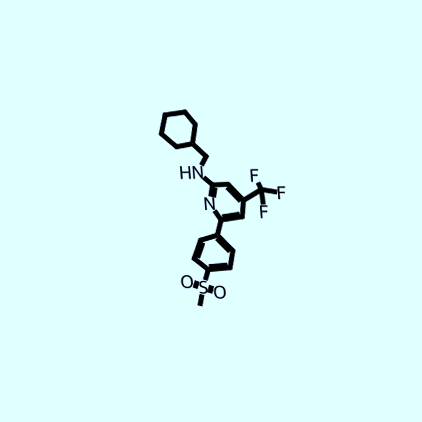 CS(=O)(=O)c1ccc(-c2cc(C(F)(F)F)cc(NCC3CCCCC3)n2)cc1